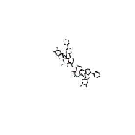 Cc1cc(C)c(N(c2cc(C)c(C)cc2C)c2cc(-c3ccccc3)ccc2-c2ccc(Cc3ccc(-c4ccc(-c5ccccc5)cc4N(c4cc(C)c(C)cc4C)c4cc(C)c(C)cc4C)cc3)cc2)cc1C